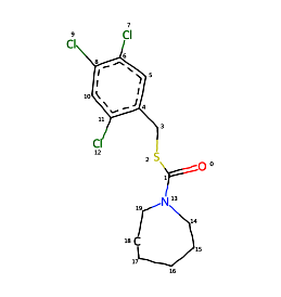 O=C(SCc1cc(Cl)c(Cl)cc1Cl)N1CCCCCC1